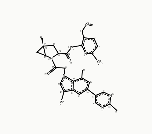 COCc1ccc(C(F)(F)F)nc1NC(=O)[C@@H]1C[C@@]2(C)CC2N1C(=O)Cn1cc(C(C)=O)c2cc(-c3cnc(C)nc3)cc(C)c21